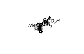 COc1cc(CN2C(=O)N([C@@H](CC3CC3)C(=O)O)C(=O)C2(C)C)ccc1NC(=O)Nc1ccccc1